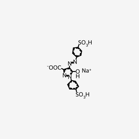 O=C([O-])c1nn(-c2ccc(S(=O)(=O)O)cc2)c(O)c1N=Nc1ccc(S(=O)(=O)O)cc1.[Na+]